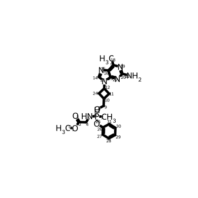 COC(=O)CN[PH](C)(OCC1CC(n2cnc3c(C)nc(N)nc32)C1)Oc1ccccc1